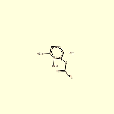 CCCCCCCCc1cccc(SC(N)=S)c1CCCCCCCC.[Mo]